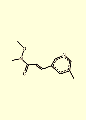 CON(C)C(=O)/C=C/c1cncc(C)c1